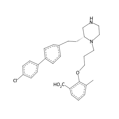 Cc1cccc(C(=O)O)c1OCCCN1CCNC[C@H]1CCc1ccc(-c2ccc(Cl)cc2)cc1